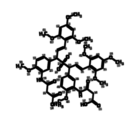 COc1cc(OC)c(C=CC(c2ccc(OC)c(NC(=O)CC(=O)O)c2)S(=O)(=O)C(C=Cc2c(OC)cc(OC)cc2OC)c2ccc(OC)c(NC(=O)CC(=O)O)c2)c(OC)c1